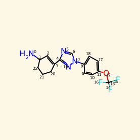 NC1C=C(c2ncn(-c3ccc(OC(F)(F)F)cc3)n2)CCC1